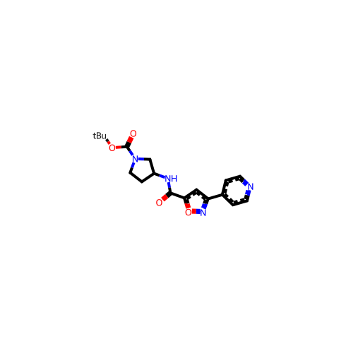 CC(C)(C)OC(=O)N1CCC(NC(=O)c2cc(-c3ccncc3)no2)C1